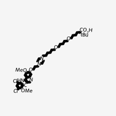 COc1cc(Nc2c(C#N)cnc3cc(OCCCN4CCN(CCCCCCOCCCCCOCCCCC(C(=O)O)C(C)(C)C)CC4)c(OC)cc23)c(Cl)cc1Cl